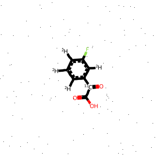 [2H]c1c([2H])c(F)c([2H])c([13C](=O)C(=O)O)c1[2H]